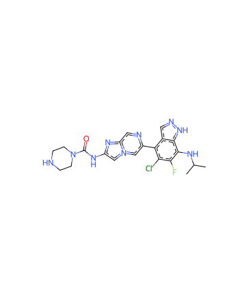 CC(C)Nc1c(F)c(Cl)c(-c2cn3cc(NC(=O)N4CCNCC4)nc3cn2)c2cn[nH]c12